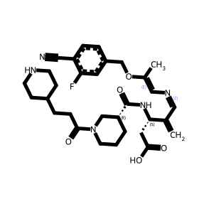 C=C(/C=N\C=C(/C)OCc1ccc(C#N)c(F)c1)[C@H](CC(=O)O)NC(=O)[C@@H]1CCCN(C(=O)CCC2CCNCC2)C1